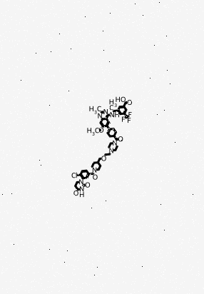 COc1cc2nc(C)nc(NC(C)c3cc(C(=O)O)cc(C(F)(F)F)c3)c2cc1C1=CCC(C(=O)N2CCN(CCOCC3CCN(C(=O)c4ccc(Cl)c(N5CCC(=O)NC5=O)c4)CC3)CC2)CC1